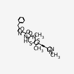 Cc1c(C#Cc2cnn(C)c2)sc2c1SC[C@H](NC(=O)c1ncc(Cc3ccccc3)o1)C(=O)N2C